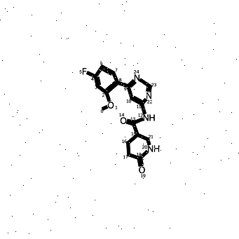 COc1cc(F)ccc1-c1cc(NC(=O)C2CCC(=O)NC2)ncn1